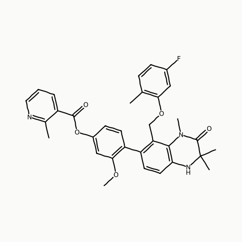 COc1cc(OC(=O)c2cccnc2C)ccc1-c1ccc2c(c1COc1cc(F)ccc1C)N(C)C(=O)C(C)(C)N2